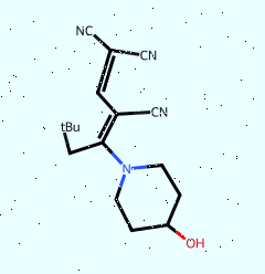 CC(C)(C)C/C(=C(/C#N)C=C(C#N)C#N)N1CCC(O)CC1